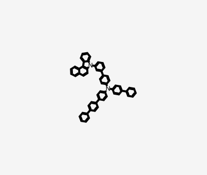 c1ccc(-c2ccc(-c3ccc(N(c4ccc(-c5ccccc5)cc4)c4ccc(-c5cccc(-n6c7ccccc7c7c8ccccc8ccc76)c5)cc4)cc3)cc2)cc1